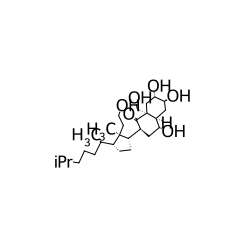 CC(C)CCC[C@@H](C)[C@H]1CC[C@@H]([C@@H]2C[C@@H](O)[C@@H]3C[C@H](O)[C@@H](O)C[C@]3(CO)C2=O)[C@]1(C)CCO